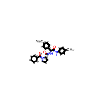 COc1ccc(NC(=O)[C@@H](NC(=O)[C@@H]2CCCN2C(=O)C2CCCCC2)c2ccc(OC)cc2)cc1